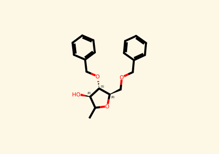 CC1O[C@H](COCc2ccccc2)[C@@H](OCc2ccccc2)[C@@H]1O